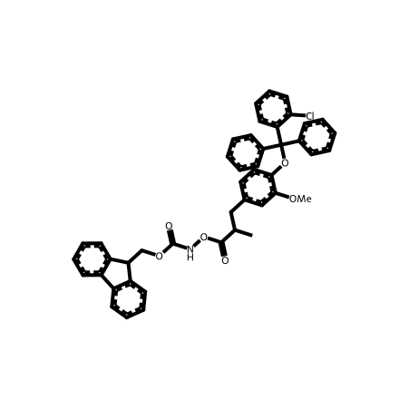 COc1cc(CC(C)C(=O)ONC(=O)OCC2c3ccccc3-c3ccccc32)ccc1OC(c1ccccc1)(c1ccccc1)c1ccccc1Cl